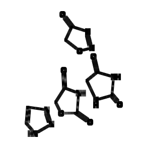 O=C1CNC(=O)N1.O=C1COC(=O)N1.O=C1CON=N1.c1c[nH]nn1